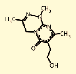 CC1=NN(C)c2nc(C)c(CCO)c(=O)n2C1